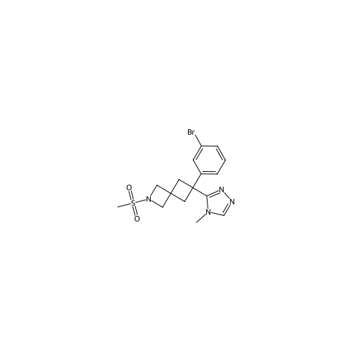 Cn1cnnc1C1(c2cccc(Br)c2)CC2(CN(S(C)(=O)=O)C2)C1